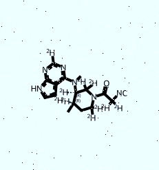 [2H]c1nc(N(C)[C@@]2([2H])C([2H])([2H])N(C(=O)C([2H])([2H])[N+]#[C-])C([2H])([2H])C[C@@]2([2H])C)c2c([2H])c[nH]c2n1